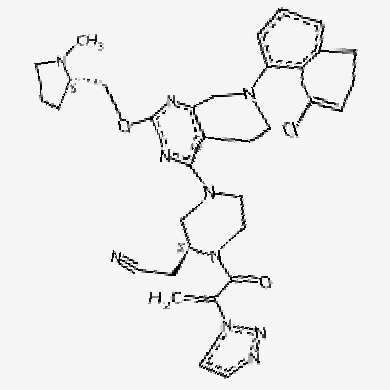 C=C(C(=O)N1CCN(c2nc(OC[C@@H]3CCCN3C)nc3c2CCN(c2cccc4c2C(Cl)=CCC4)C3)C[C@@H]1CC#N)n1ccnn1